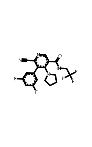 N#Cc1ncc(C(=O)NCC(F)(F)F)c(N2CCCC2)c1-c1cc(F)cc(F)c1